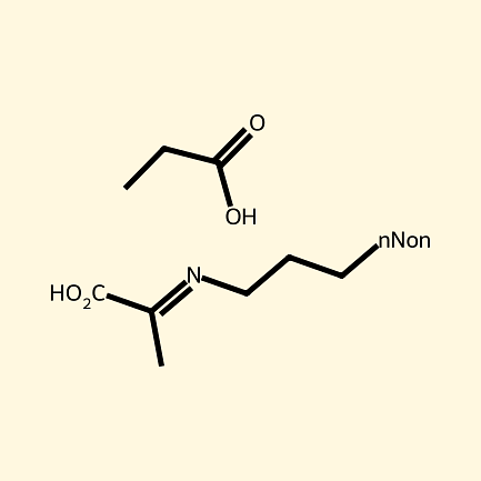 CCC(=O)O.CCCCCCCCCCCCN=C(C)C(=O)O